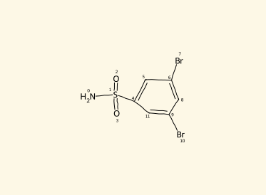 NS(=O)(=O)c1cc(Br)cc(Br)c1